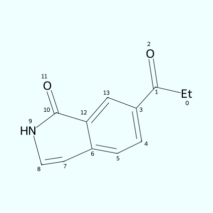 CCC(=O)c1ccc2cc[nH]c(=O)c2c1